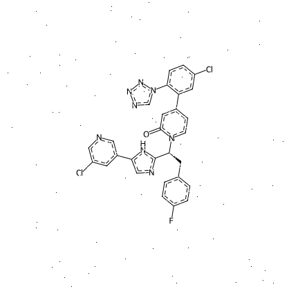 O=c1cc(-c2cc(Cl)ccc2-n2cnnn2)ccn1[C@@H](Cc1ccc(F)cc1)c1ncc(-c2cncc(Cl)c2)[nH]1